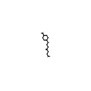 C=C(CCC(C)C)CC[C@H](O)C1CCC(C(C)C)CC1